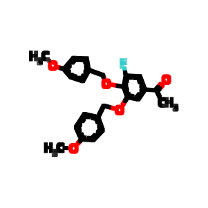 COc1ccc(COc2cc(C(C)=O)cc(F)c2OCc2ccc(OC)cc2)cc1